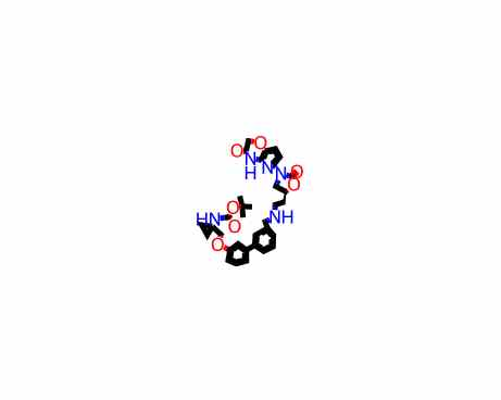 CC(C)(C)OC(=O)NC1(COc2cccc(-c3cccc(CNCC[C@H]4CN(c5ccc6c(n5)NC(=O)CO6)C(=O)O4)c3)c2)CC1